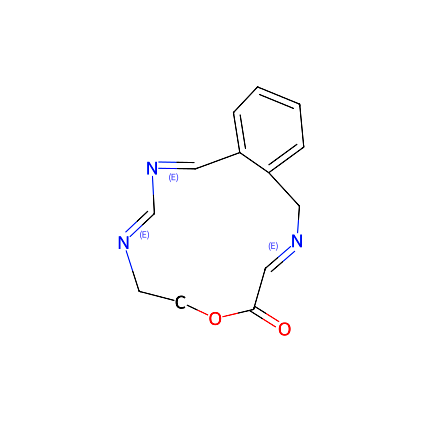 O=C1/C=N/Cc2ccccc2/C=N/C=N/CCO1